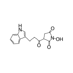 O=C(CCc1c[nH]c2ccccc12)C1CC(=O)N(O)C1=O